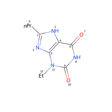 CCCc1nc2c([nH]1)c(=O)[nH]c(=O)n2CC